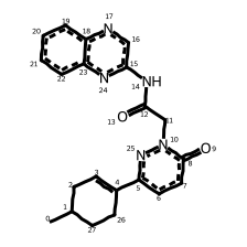 CC1CC=C(c2ccc(=O)n(CC(=O)Nc3cnc4ccccc4n3)n2)CC1